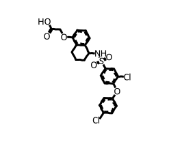 O=C(O)COc1cccc2c1CCCC2NS(=O)(=O)c1ccc(Oc2ccc(Cl)cc2)c(Cl)c1